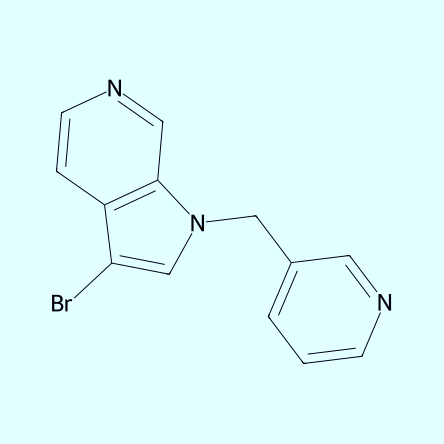 Brc1cn(Cc2cccnc2)c2cnccc12